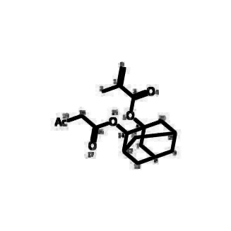 C=C(C)C(=O)OC12CC3CC(CC(C3)C1OC(=O)CC(C)=O)C2